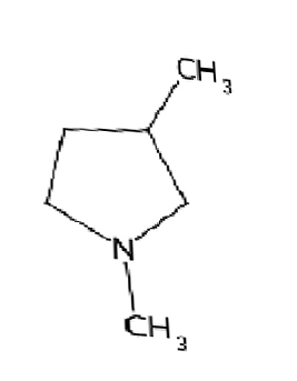 CC1CCN(C)C1